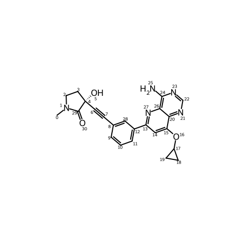 CN1CC[C@@](O)(C#Cc2cccc(-c3cc(OC4CC4)c4ncnc(N)c4n3)c2)C1=O